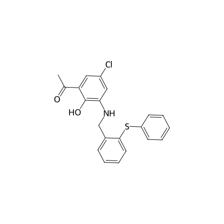 CC(=O)c1cc(Cl)cc(NCc2ccccc2Sc2ccccc2)c1O